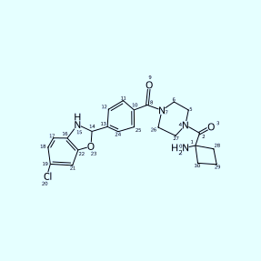 NC1(C(=O)N2CCN(C(=O)c3ccc(C4Nc5ccc(Cl)cc5O4)cc3)CC2)CCC1